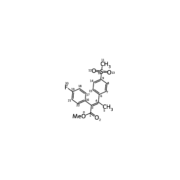 COC(=O)/C(=C(\C)c1ccc(S(C)(=O)=O)cc1)c1ccc(F)cc1